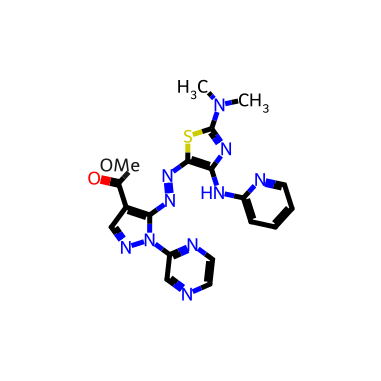 COC(=O)c1cnn(-c2cnccn2)c1/N=N/c1sc(N(C)C)nc1Nc1ccccn1